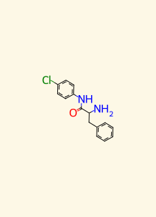 NC(Cc1ccccc1)C(=O)Nc1ccc(Cl)cc1